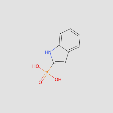 O=P(O)(O)c1cc2ccccc2[nH]1